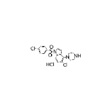 Cl.O=S(=O)(c1ccc(Cl)cc1)n1ccc2c(N3CCNCC3)c(Cl)ccc21